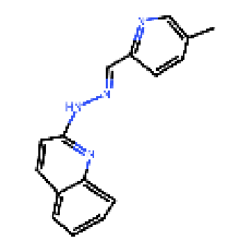 Cc1ccc(/C=N/Nc2ccc3ccccc3n2)nc1